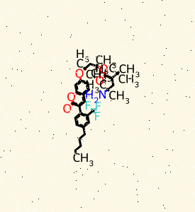 CCCCCc1ccc(-c2cc3ccc(OC(C)(C)CC(C)(C)OC(=O)C(CC(C)(C)N)C(C)(C)C)cc3oc2=O)c(C(F)(F)F)c1